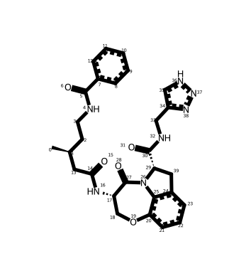 C[C@@H](CCNC(=O)c1ccccc1)CC(=O)N[C@H]1COc2cccc3c2N(C1=O)[C@H](C(=O)NCc1c[nH]nn1)C3